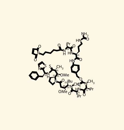 CC[C@H](C)[C@@H]([C@@H](CC(=O)N1CCC[C@H]1[C@H](OC)[C@@H](C)C(=S)N[C@@H](Cc1ccccc1)c1nccs1)OC)N(C)C(=O)[C@@H](NC(=O)[C@H](C(C)C)N(C)C(=O)OCc1ccc(NC(=O)[C@H](CCCNC(N)=O)NC(=O)[C@@H](NC(=O)CCCCCN2C(=O)C=CC2=O)C(C)C)cc1)C(C)C